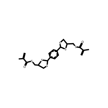 C=C(C)C(=O)SCC1CSC(c2ccc(C3SCC(CSC(=O)C(=C)C)S3)cc2)S1